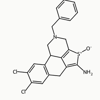 Nc1c2c3c([s+]1[O-])CN(Cc1ccccc1)CC3c1cc(Cl)c(Cl)cc1C2